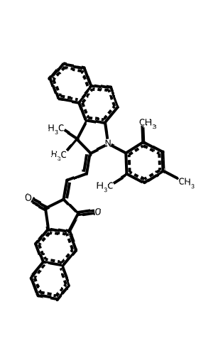 Cc1cc(C)c(N2/C(=C/C=C3C(=O)c4cc5ccccc5cc4C3=O)C(C)(C)c3c2ccc2ccccc32)c(C)c1